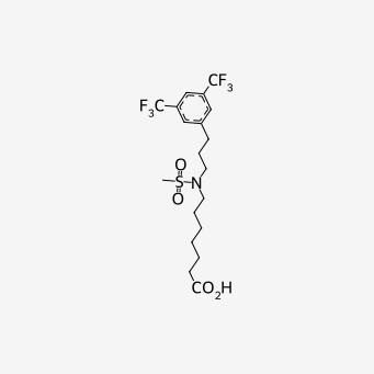 CS(=O)(=O)N(CCCCCCC(=O)O)CCCc1cc(C(F)(F)F)cc(C(F)(F)F)c1